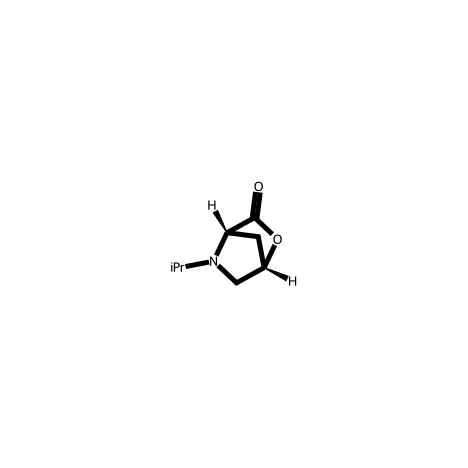 CC(C)N1C[C@@H]2C[C@H]1C(=O)O2